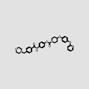 O=C(Nc1ccc(OC(=O)N2CCC(Oc3ccc(Oc4ccccn4)cc3)CC2)cc1)c1ccc(CN2CCOCC2)cc1